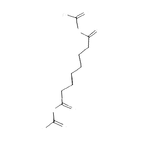 CCC(=O)OC(=O)CCCCCCC(=O)OC(=O)CC